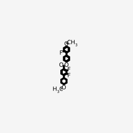 COc1ccc(-c2ccc(OC(=O)c3ccc(C4CCC(OC)CC4)c(F)c3F)cc2)c(F)c1